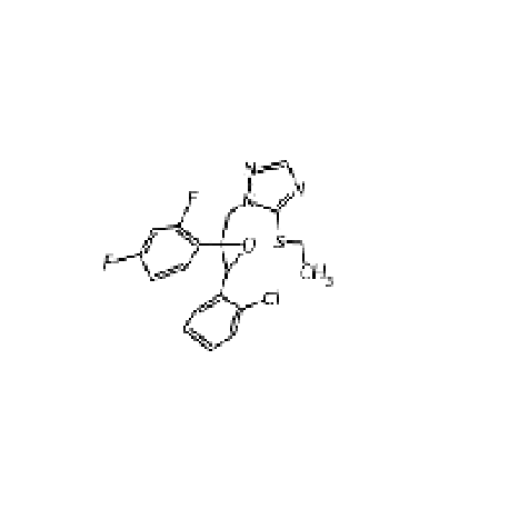 CCSc1ncnn1CC1(c2ccc(F)cc2F)OC1c1ccccc1Cl